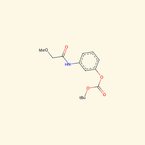 COCC(=O)Nc1cccc(OC(=O)OC(C)(C)C)c1